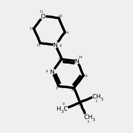 CC(C)(C)c1cnc(N2CCOCC2)nc1